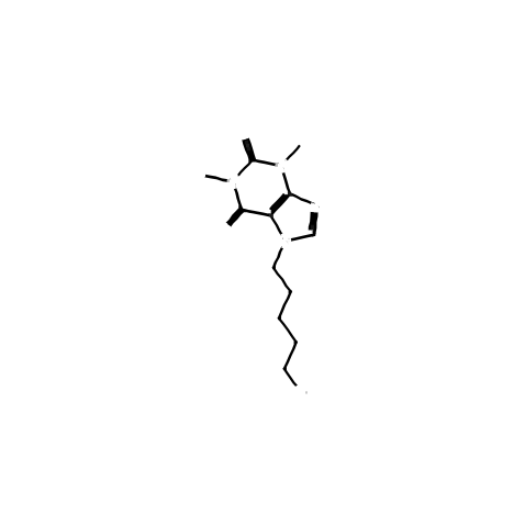 Cn1c(=O)c2c(ncn2CCCCCO)n(C)c1=O